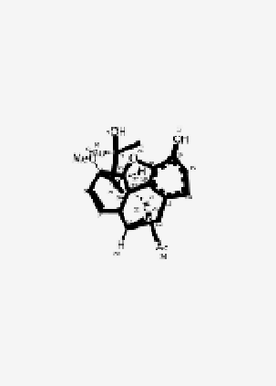 CO[C@@]12C=C[C@]3(C[C@@H]1[C@](C)(O)C(C)(C)C)[C@H]1Cc4ccc(O)c5c4[C@]3(CCN1C(C)=O)[C@@H]2O5